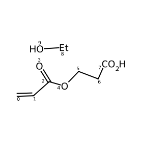 C=CC(=O)OCCC(=O)O.CCO